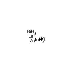 [BiH3].[Hg].[InH3].[La].[Zn]